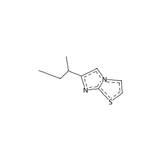 CCC(C)c1cn2ccsc2n1